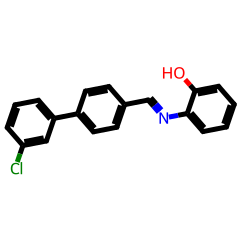 Oc1ccccc1/N=C/c1ccc(-c2cccc(Cl)c2)cc1